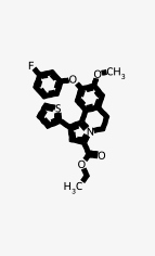 CCOC(=O)c1cc(-c2cccs2)c2n1CCc1cc(OC)c(Oc3cccc(F)c3)cc1-2